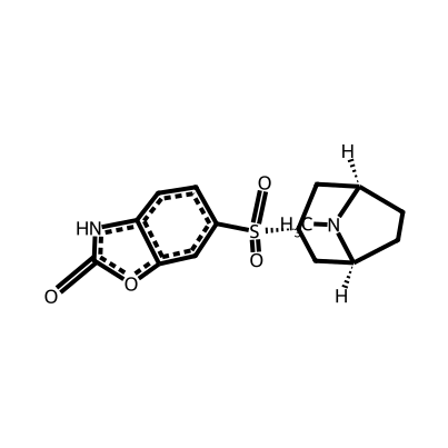 CN1[C@@H]2CC[C@H]1C[C@H](S(=O)(=O)c1ccc3[nH]c(=O)oc3c1)C2